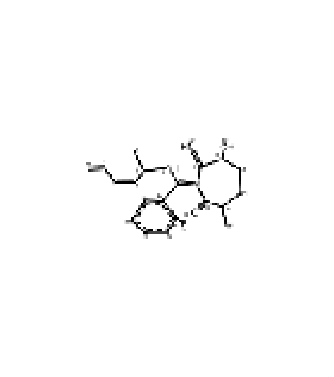 C=C/C=C\C(C)N/C(=C1\C(=N)C(O)CCC(C)C1=O)c1ccccc1F